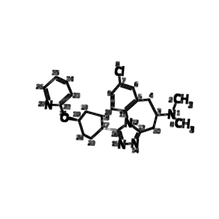 CN(C)C1Cc2cc(Cl)ccc2-n2c(nnc2[C@H]2CC[C@H](Oc3ccccn3)CC2)C1